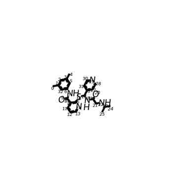 Cc1cc(C)cc(NC(=O)c2cccnc2SC(NC(=O)CNC(C)C)c2ccncc2)c1